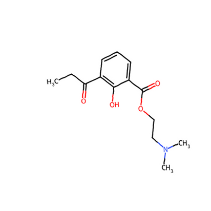 CCC(=O)c1cccc(C(=O)OCCN(C)C)c1O